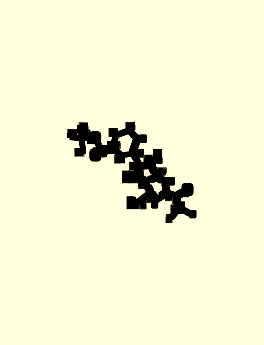 CN(C)C(=O)c1cc(Br)c2[nH]c(C3=CCCN(C(=O)OC(C)(C)C)C3)c(F)c2c1